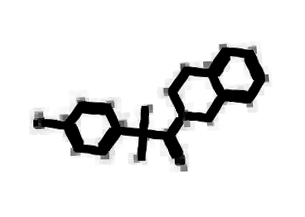 CC(C)(C(=O)N1[CH]c2ccccc2CC1)c1ccc(Cl)cc1